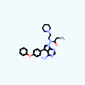 CCC(=O)N(CCN1CCCCC1)n1cc(-c2ccc(Oc3ccccc3)cc2)c2c(N)ncnc21